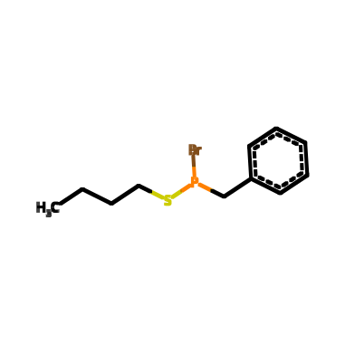 CCCCSP(Br)Cc1ccccc1